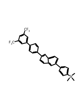 C[Si](C)(C)c1ccc(-c2ccc3cc(-c4ccc(-c5cc(C(F)(F)F)cc(C(F)(F)F)c5)cc4)ccc3c2)cc1